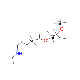 CCNCC(C)C[Si](C)(C)C(C)O[Si](C)(C)C(C)(CC)O[Si](C)(C)C